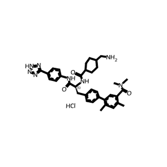 Cc1cc(C)c(-c2ccc(C[C@H](NC(=O)C3CCC(CN)CC3)C(=O)Nc3ccc(-c4nn[nH]n4)cc3)cc2)cc1C(=O)N(C)C.Cl